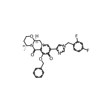 C[C@@H]1CCO[C@H]2Cn3cc(-c4cn(Cc5ccc(F)cc5F)cn4)c(=O)c(OCc4ccccc4)c3C(=O)N12